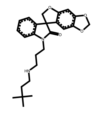 CC(C)(C)CCNCCCN1C(=O)C2(COc3cc4c(cc32)OCO4)c2ccccc21